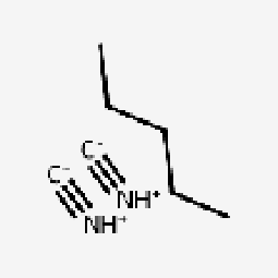 CCCCC.[C-]#[NH+].[C-]#[NH+]